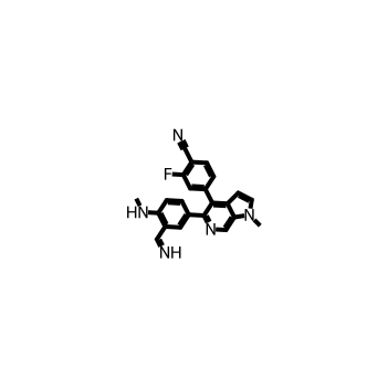 CNc1ccc(-c2ncc3c(ccn3C)c2-c2ccc(C#N)c(F)c2)cc1C=N